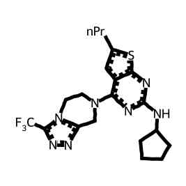 CCCc1cc2c(N3CCn4c(nnc4C(F)(F)F)C3)nc(NC3CCCC3)nc2s1